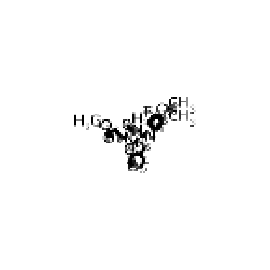 CCOC(=O)CCn1c(=O)[nH]/c(=N\c2ccc(OC(C)C)c(F)c2)n(CC2CCOCC2)c1=O